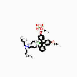 CCCC[N+](CCCC)(CCCC)CCCC.COc1ccc(C(Cl)(c2ccccc2)c2ccc(OC)cc2)cc1.[O-][Cl+3]([O-])([O-])[O-]